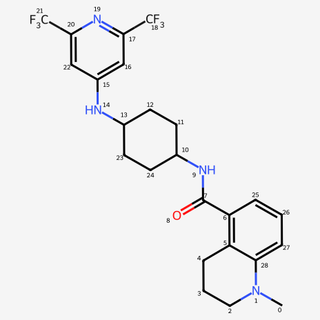 CN1CCCc2c(C(=O)NC3CCC(Nc4cc(C(F)(F)F)nc(C(F)(F)F)c4)CC3)cccc21